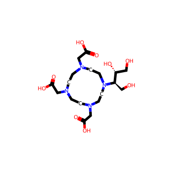 O=C(O)CN1CCN(CC(=O)O)CCN([C@H](CO)[C@H](O)CO)CCN(CC(=O)O)CC1